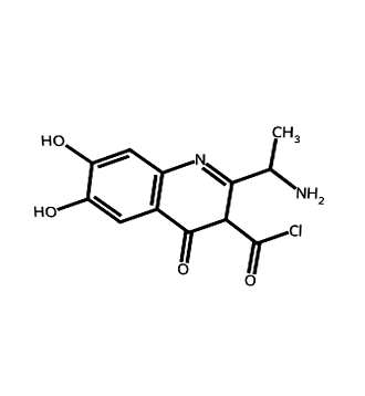 CC(N)C1=Nc2cc(O)c(O)cc2C(=O)C1C(=O)Cl